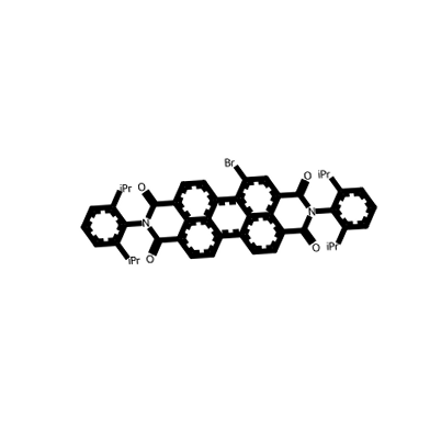 CC(C)c1cccc(C(C)C)c1N1C(=O)c2ccc3c4ccc5c6c(cc(Br)c(c7ccc(c2c37)C1=O)c64)C(=O)N(c1c(C(C)C)cccc1C(C)C)C5=O